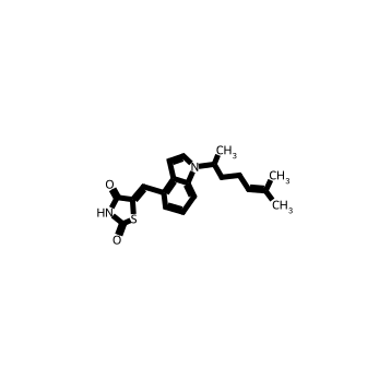 CC(C)=CCCC(C)n1ccc2c(/C=C3\SC(=O)NC3=O)cccc21